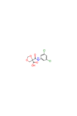 O=C(O)C1(C(=O)Nc2cc(Cl)cc(Cl)c2)COCO1